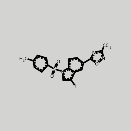 Cc1ccc(S(=O)(=O)n2cc(I)c3cc(-c4nc(C(Cl)(Cl)Cl)no4)ccc32)cc1